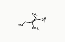 CC(C(=O)O)=C(N)CC(C)(C)C